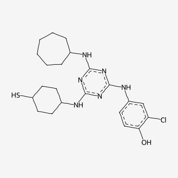 Oc1ccc(Nc2nc(NC3CCCCCC3)nc(NC3CCC(S)CC3)n2)cc1Cl